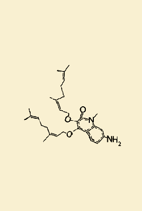 CC(C)=CCCC(C)=CCOc1c(OCC=C(C)CCC=C(C)C)c2ccc(N)cc2n(C)c1=O